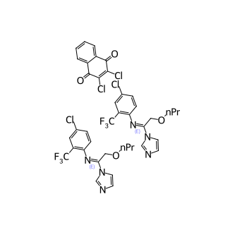 CCCOC/C(=N\c1ccc(Cl)cc1C(F)(F)F)n1ccnc1.CCCOC/C(=N\c1ccc(Cl)cc1C(F)(F)F)n1ccnc1.O=C1C(Cl)=C(Cl)C(=O)c2ccccc21